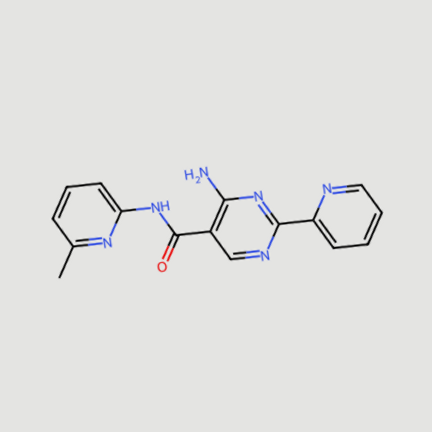 Cc1cccc(NC(=O)c2cnc(-c3ccccn3)nc2N)n1